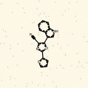 N#Cc1nc(-c2cccs2)oc1-c1c[nH]c2ccccc12